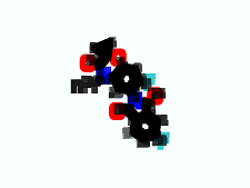 CCCN1C(=O)C2(CC2)Oc2cc(F)c(N3C(=O)c4ccc(F)cc4C3=O)cc21